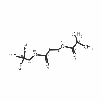 CC(C)C(=O)OCCC(=O)OCC(F)(F)F